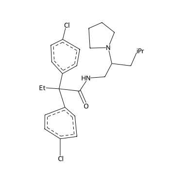 CCC(C(=O)NCC(CC(C)C)N1CCCC1)(c1ccc(Cl)cc1)c1ccc(Cl)cc1